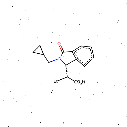 CCC(C(=O)O)C1c2ccccc2C(=O)N1CC1CC1